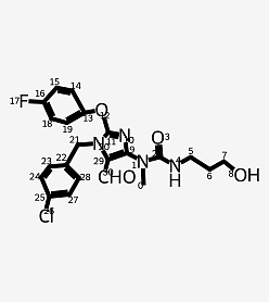 CN(C(=O)NCCCO)c1nc(Oc2ccc(F)cc2)n(Cc2ccc(Cl)cc2)c1C=O